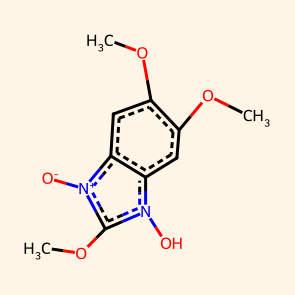 COc1cc2c(cc1OC)[n+]([O-])c(OC)n2O